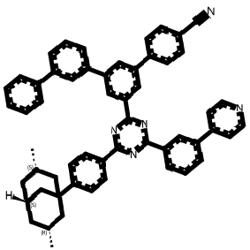 C[C@@H]1C[C@@H]2C[C@H](C)CC(c3ccc(-c4nc(-c5cccc(-c6ccncc6)c5)nc(-c5cc(-c6ccc(C#N)cc6)cc(-c6cccc(-c7ccccc7)c6)c5)n4)cc3)(C1)C2